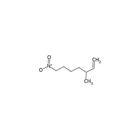 C=CC(C)CCCC[N+](=O)[O-]